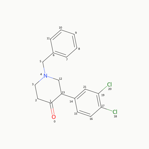 O=C1CCN(Cc2ccccc2)CC1c1ccc(Cl)c(Cl)c1